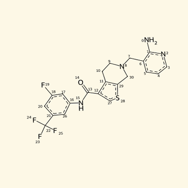 Nc1ncccc1CN1CCc2c(C(=O)Nc3cc(F)cc(C(F)(F)F)c3)csc2C1